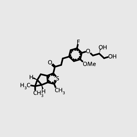 COc1cc(CCC(=O)c2sc(C)c3c2C[C@@H]2[C@H]3C2(C)C)cc(F)c1OC[C@H](O)CO